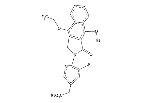 CCOC(=O)Cc1ccc(N2Cc3c(c(OCC)c4ccccc4c3OCC(F)(F)F)C2=O)c(F)c1